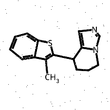 Cc1c(C2CCCn3cncc32)sc2ccccc12